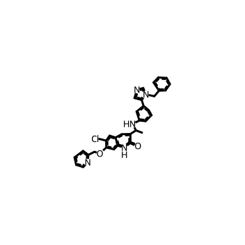 CC(Nc1cccc(-c2cncn2Cc2ccccc2)c1)c1cc2cc(Cl)c(OCc3ccccn3)cc2[nH]c1=O